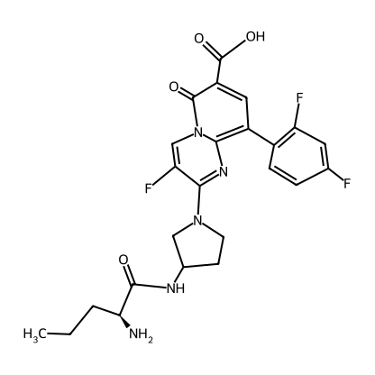 CCC[C@H](N)C(=O)NC1CCN(c2nc3c(-c4ccc(F)cc4F)cc(C(=O)O)c(=O)n3cc2F)C1